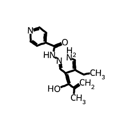 C=C(C)/C(O)=C(/C=N/NC(=O)c1ccncc1)C(=C/N)\CC